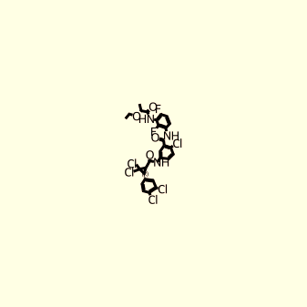 CCOC(C)C(=O)Nc1c(F)ccc(NC(=O)c2cc(NC(=O)C3[C@H](c4ccc(Cl)c(Cl)c4)C3(Cl)Cl)ccc2Cl)c1F